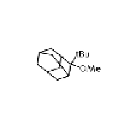 COC1(C(C)(C)C)C2CC3CC(C2)CC1C3